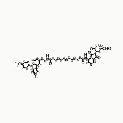 CNC(=O)C(CCC=O)N1C(=O)c2cccc(NC(=O)CCOCCOCCOCCC(=O)NCCc3ccc4c(c3)c3cn(C)nc3n4-c3ccc(C(F)(F)F)cc3)c2C1=O